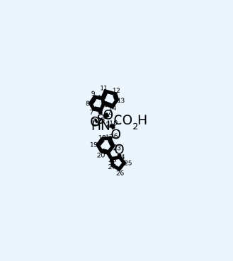 O=C(O)C(NS(=O)(=O)c1cccc2ccccc12)Oc1cccc2c1OC1CCCC21